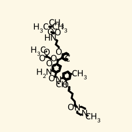 COC(=O)COc1c(C(=O)c2ccccc2OCCCNC(=O)OC(C)(C)C)ccc(C(=O)N(C)c2ccc(C)cc2OCCCCCC(=O)N2CCN(C)CC2)c1N